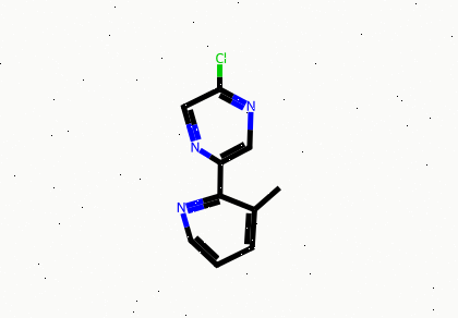 Cc1cccnc1-c1cnc(Cl)cn1